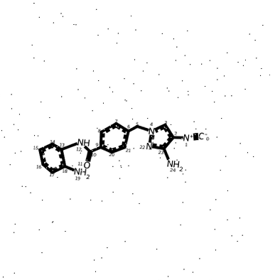 [C-]#[N+]c1cn(Cc2ccc(C(=O)Nc3ccccc3N)cc2)nc1N